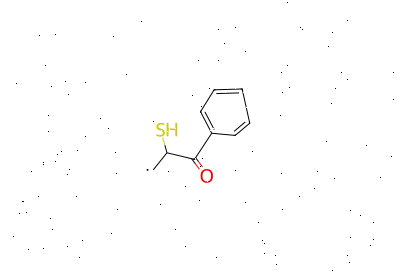 [CH2]C(S)C(=O)c1ccccc1